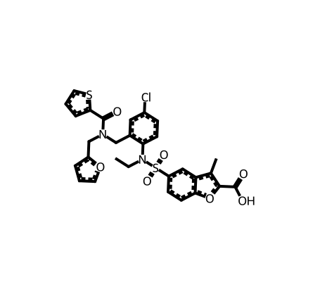 CCN(c1ccc(Cl)cc1CN(Cc1ccco1)C(=O)c1cccs1)S(=O)(=O)c1ccc2oc(C(=O)O)c(C)c2c1